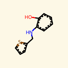 Oc1ccccc1NCc1cccs1